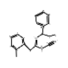 CCC(N=C(Cc1ccccc1C)NC#N)c1ccccc1